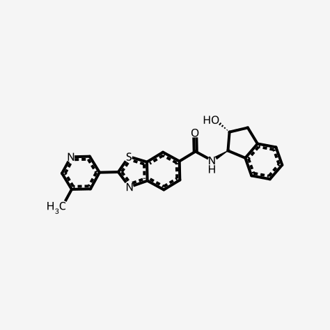 Cc1cncc(-c2nc3ccc(C(=O)N[C@@H]4c5ccccc5C[C@H]4O)cc3s2)c1